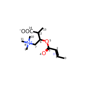 C/C=C/C(=O)OC(C[N+](C)(C)C)C(C)C(=O)[O-]